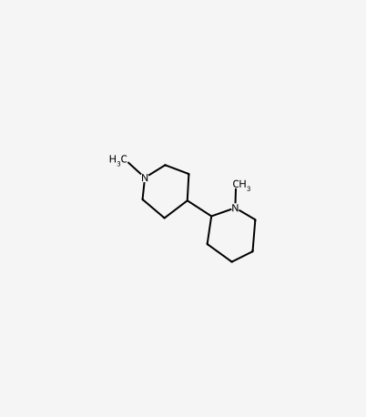 CN1CCC(C2CCCCN2C)CC1